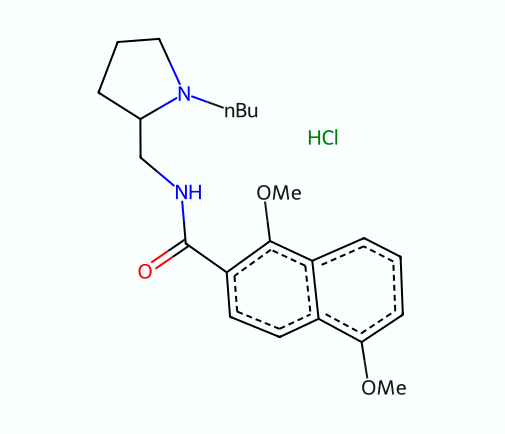 CCCCN1CCCC1CNC(=O)c1ccc2c(OC)cccc2c1OC.Cl